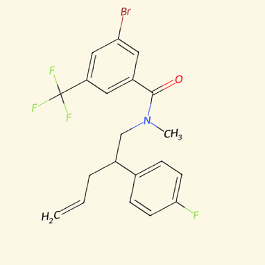 C=CCC(CN(C)C(=O)c1cc(Br)cc(C(F)(F)F)c1)c1ccc(F)cc1